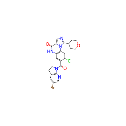 O=C(c1cc2[nH]c(=O)c3cnc(C4CCOCC4)n3c2cc1Cl)N1CCc2cc(Br)cnc21